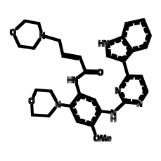 COc1cc(N2CCOCC2)c(NC(=O)/C=C/CN2CCOCC2)cc1Nc1nccc(-c2c[nH]c3ccccc23)n1